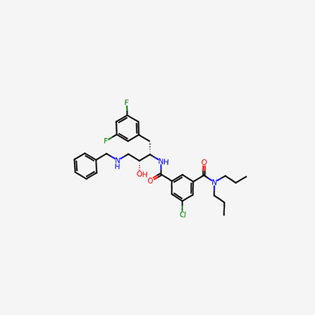 CCCN(CCC)C(=O)c1cc(Cl)cc(C(=O)N[C@@H](Cc2cc(F)cc(F)c2)[C@H](O)CNCc2ccccc2)c1